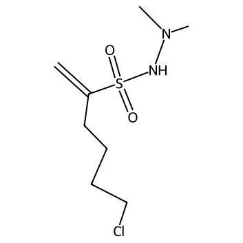 C=C(CCCCCl)S(=O)(=O)NN(C)C